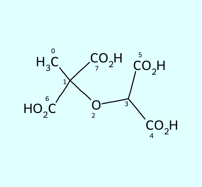 CC(OC(C(=O)O)C(=O)O)(C(=O)O)C(=O)O